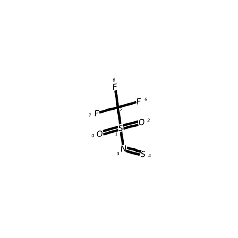 O=S(=O)(N=S)C(F)(F)F